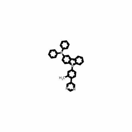 Cc1cc(-n2c3ccccc3c3cc(N(c4ccccc4)c4ccccc4)ccc32)ccc1-c1cncnc1